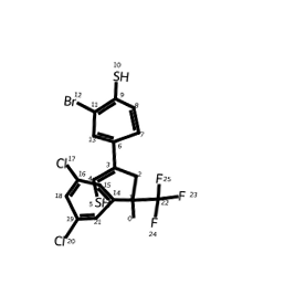 CC(C/C(=C\S)c1ccc(S)c(Br)c1)(c1cc(Cl)cc(Cl)c1)C(F)(F)F